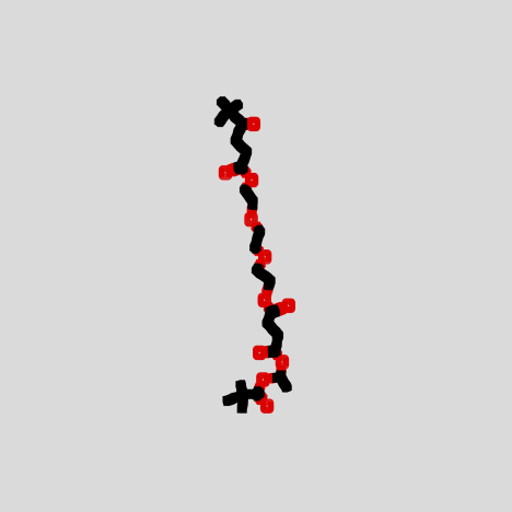 CC(OC(=O)CCC(=O)OCCOCCOCCOC(=O)CCC(=O)C(C)(C)C)OC(=O)C(C)(C)C